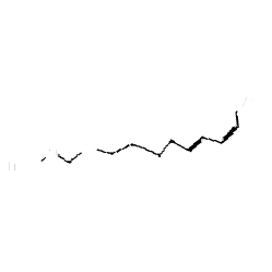 CCCC/C=C\C=C\CCCCOCOCCCCCCCC